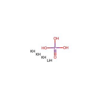 O=P(O)(O)O.[KH].[KH].[KH].[LiH]